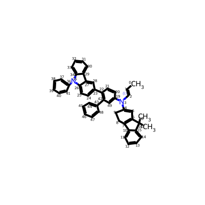 C/C=C/N(C1=CC2=C(CC1)c1ccccc1C2(C)C)c1ccc(-c2ccc3c(c2)c2ccccc2n3-c2ccccc2)c(-c2ccccc2)c1